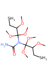 COC(C[SiH3])C(OC)(OC)N(C(N)=O)C(OC)(OC)C(C[SiH3])OC